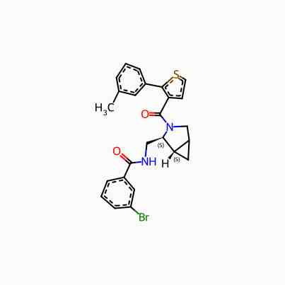 Cc1cccc(-c2sccc2C(=O)N2CC3C[C@@H]3[C@H]2CNC(=O)c2cccc(Br)c2)c1